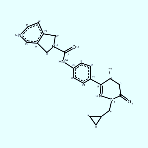 C[C@@H]1CC(=O)N(CC2CC2)N=C1c1ccc(NC(=O)N2Cc3ccncc3C2)cc1